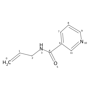 C=CCNC(=O)c1cccnc1